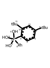 CC(C)(C)c1ccc([P](O)(O)(O)[Rh])c(C(C)(C)C)c1